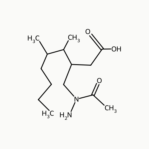 CCCCC(C)C(C)C(CC(=O)O)CN(N)C(C)=O